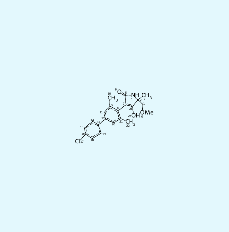 COCC1(C)NC(=O)C(c2c(C)cc(-c3ccc(Cl)cc3)cc2C)=C1O